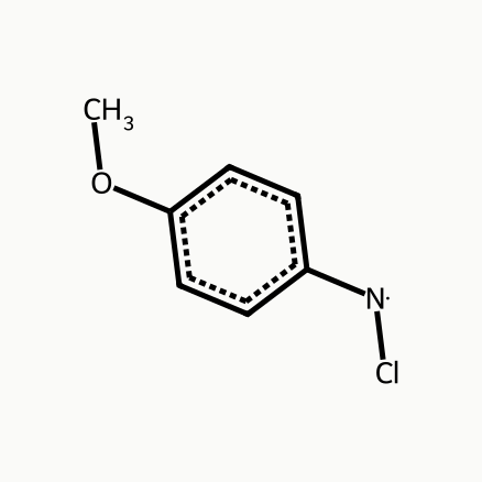 COc1ccc([N]Cl)cc1